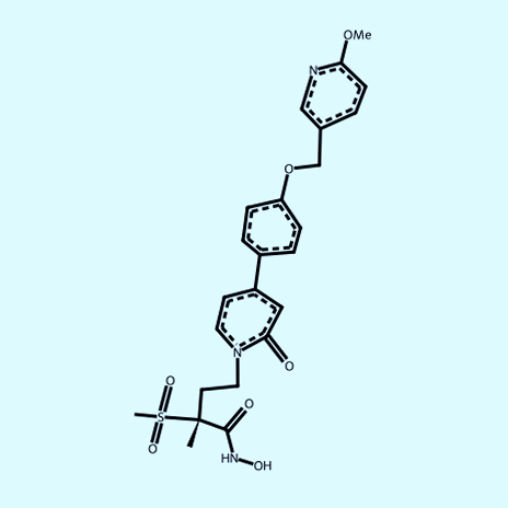 COc1ccc(COc2ccc(-c3ccn(CC[C@](C)(C(=O)NO)S(C)(=O)=O)c(=O)c3)cc2)cn1